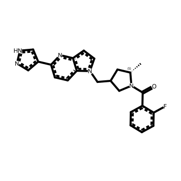 C[C@H]1CC(Cn2ccc3nc(-c4cn[nH]c4)ccc32)CN1C(=O)c1ccccc1F